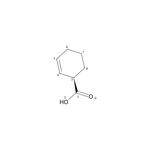 O=C(O)[C@H]1C=CCCC1